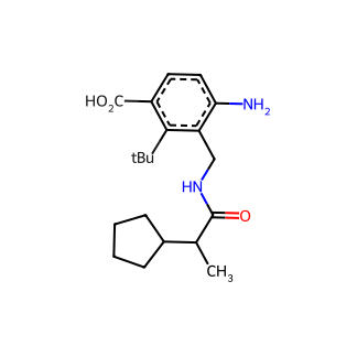 CC(C(=O)NCc1c(N)ccc(C(=O)O)c1C(C)(C)C)C1CCCC1